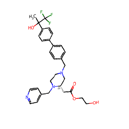 CC(O)(c1ccc(-c2ccc(CN3CCN(Cc4ccncc4)[C@@H](CC(=O)OCCO)C3)cc2)cc1)C(F)(F)F